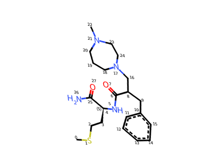 CSCC[C@H](NC(=O)C(Cc1ccccc1)CN1CCCN(C)CC1)C(N)=O